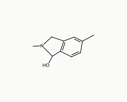 Cc1ccc2c(c1)CN(C)C2O